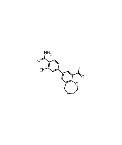 CC(=O)c1cc(-c2ccc(C(N)=O)c(Cl)c2)cc2c1OCCCC2